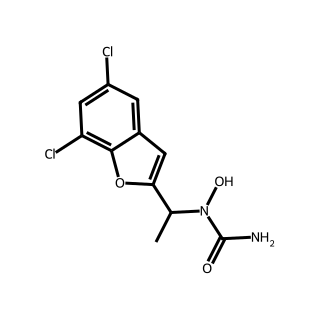 CC(c1cc2cc(Cl)cc(Cl)c2o1)N(O)C(N)=O